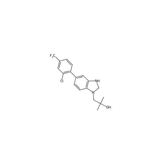 CC(C)(O)CN1CNc2cc(-c3ccc(C(F)(F)F)cc3Cl)ccc21